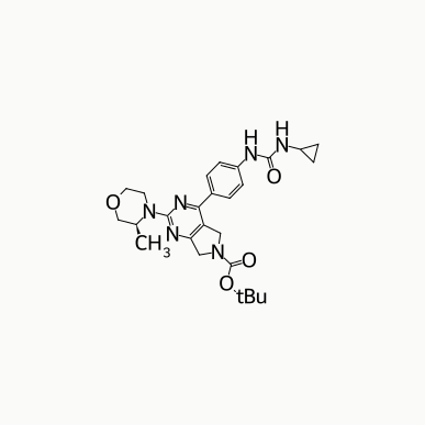 C[C@H]1COCCN1c1nc2c(c(-c3ccc(NC(=O)NC4CC4)cc3)n1)CN(C(=O)OC(C)(C)C)C2